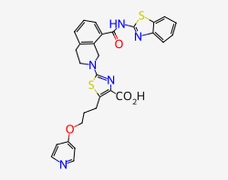 O=C(Nc1nc2ccccc2s1)c1cccc2c1CN(c1nc(C(=O)O)c(CCCOc3ccncc3)s1)CC2